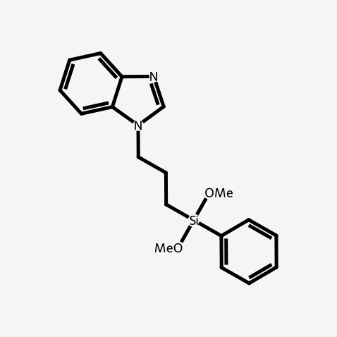 CO[Si](CCCn1cnc2ccccc21)(OC)c1ccccc1